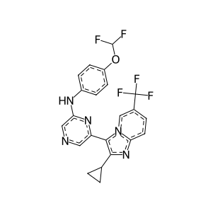 FC(F)Oc1ccc(Nc2cncc(-c3c(C4CC4)nc4ccc(C(F)(F)F)cn34)n2)cc1